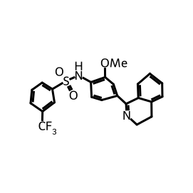 COc1cc(C2=NCCc3ccccc32)ccc1NS(=O)(=O)c1cccc(C(F)(F)F)c1